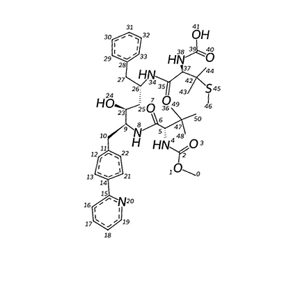 COC(=O)N[C@H](C(=O)N[C@@H](Cc1ccc(-c2ccccn2)cc1)[C@@H](O)C[C@H](Cc1ccccc1)NC(=O)[C@@H](NC(=O)O)C(C)(C)SC)C(C)(C)C